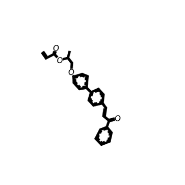 C=CC(=O)OC(C)COc1ccc(-c2ccc(/C=C/C(=O)c3ccccc3)cc2)cc1